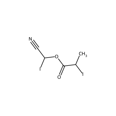 CC(I)C(=O)OC(I)C#N